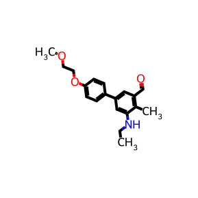 CCNc1cc(-c2ccc(OCCOC)cc2)cc(C=O)c1C